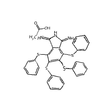 CC(=O)O.N=C1NC(=N)c2c(Sc3ccccc3)c(Sc3ccccc3)c(Sc3ccccc3)c(Sc3ccccc3)c21